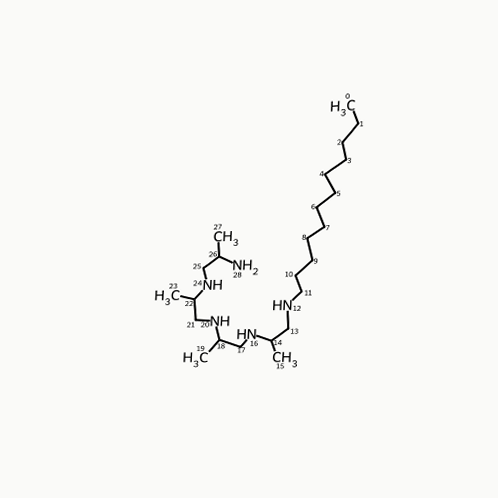 CCCCCCCCCCCCNCC(C)NCC(C)NCC(C)NCC(C)N